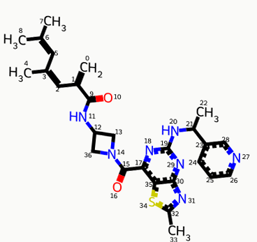 C=C(/C=C(/C)C=C(C)C)C(=O)NC1CN(C(=O)c2nc(NC(C)c3cccnc3)nc3nc(C)sc23)C1